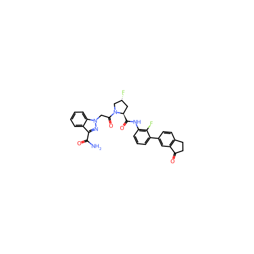 NC(=O)c1nn(CC(=O)N2C[C@H](F)C[C@H]2C(=O)Nc2cccc(-c3ccc4c(c3)C(=O)CC4)c2F)c2ccccc12